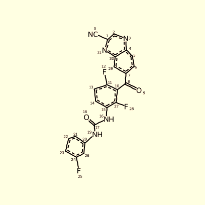 N#Cc1cnc2ccc(C(=O)c3c(F)ccc(NC(=O)Nc4cccc(F)c4)c3F)cc2n1